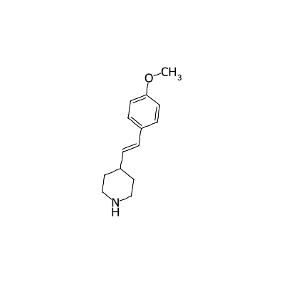 COc1ccc(C=CC2CCNCC2)cc1